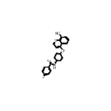 N#Cc1cccc2c(OC3CCC(NC(=O)c4ccc(F)cc4)CC3)ccnc12